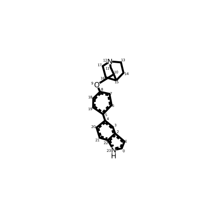 c1cc2cc(-c3ccc(OC4CN5CCC4CC5)cc3)ccc2[nH]1